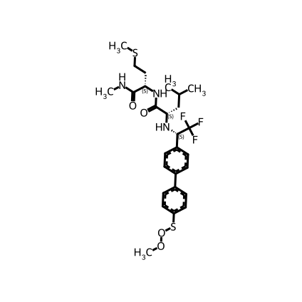 CNC(=O)[C@H](CCSC)NC(=O)[C@H](CC(C)C)N[C@@H](c1ccc(-c2ccc(SOOC)cc2)cc1)C(F)(F)F